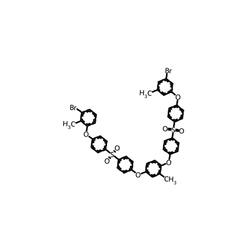 Cc1cc(Br)cc(Oc2ccc(S(=O)(=O)c3ccc(Oc4ccc(Oc5ccc(S(=O)(=O)c6ccc(Oc7cccc(Br)c7C)cc6)cc5)cc4C)cc3)cc2)c1